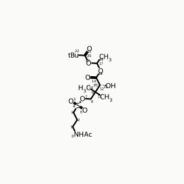 CC(=O)NCCCS(=O)(=O)OCC(C)(C)[C@@H](O)C(=O)OC(C)OC(=O)C(C)(C)C